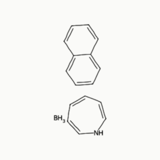 B.C1=CC=CNC=C1.c1ccc2ccccc2c1